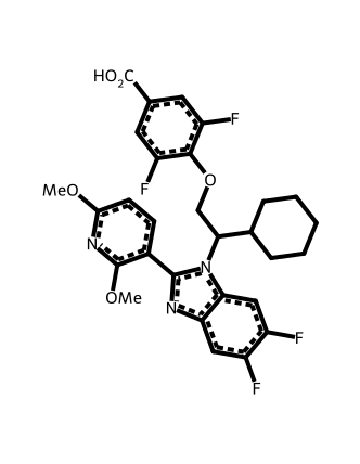 COc1ccc(-c2nc3cc(F)c(F)cc3n2C(COc2c(F)cc(C(=O)O)cc2F)C2CCCCC2)c(OC)n1